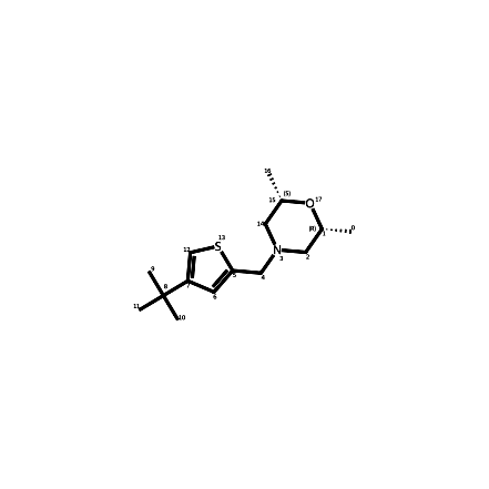 C[C@@H]1CN(Cc2cc(C(C)(C)C)cs2)C[C@H](C)O1